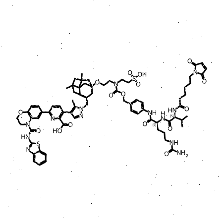 Cc1c(-c2ccc(-c3ccc4c(c3)N(C(=O)Nc3nc5ccccc5s3)CCO4)nc2C(=O)O)cnn1CC12CC3(OCCN(CCS(=O)(=O)O)C(=O)OCc4ccc(NC(=O)[C@H](CCCNC(N)=O)NC(=O)[C@@H](NC(=O)CCCCCN5C(=O)C=CC5=O)C(C)C)cc4)CC4(C)CC(C)(C1)C4(C2)C3